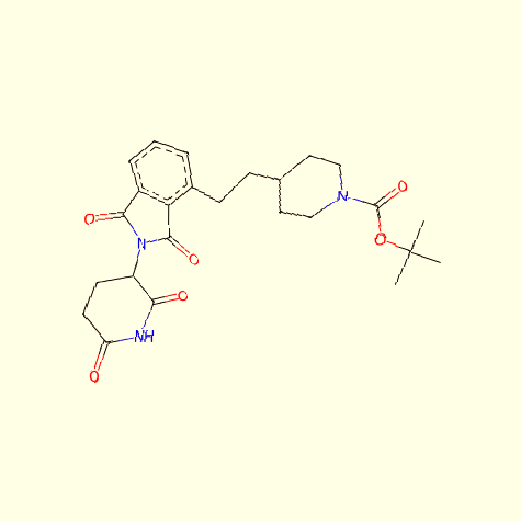 CC(C)(C)OC(=O)N1CCC(CCc2cccc3c2C(=O)N(C2CCC(=O)NC2=O)C3=O)CC1